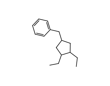 CCC1CC(Cc2ccccc2)CC1CC